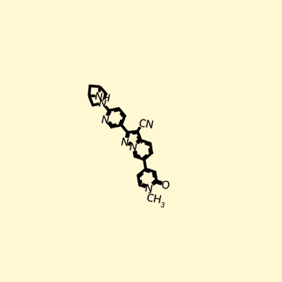 Cn1ccc(-c2ccc3c(C#N)c(-c4ccc(N5CC6CC(C5)N6)nc4)nn3c2)cc1=O